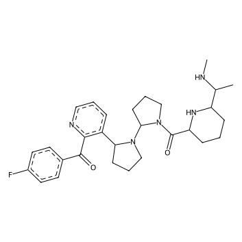 CNC(C)C1CCCC(C(=O)N2CCCC2N2CCCC2c2cccnc2C(=O)c2ccc(F)cc2)N1